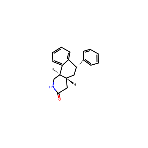 O=C1C[C@H]2C[C@@H](c3ccccc3)c3ccccc3[C@@H]2CN1